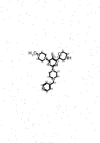 CN1CCN(c2nc(N3CCN(Cc4ccncc4)CC3)nc(C3CNCCO3)c2F)CC1